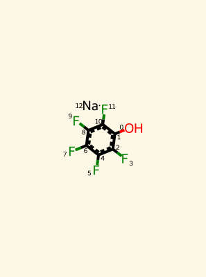 Oc1c(F)c(F)c(F)c(F)c1F.[Na]